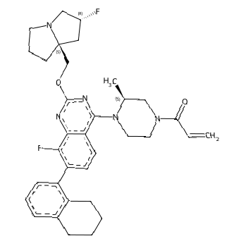 C=CC(=O)N1CCN(c2nc(OC[C@@]34CCCN3C[C@H](F)C4)nc3c(F)c(-c4cccc5c4CCCC5)ccc23)[C@@H](C)C1